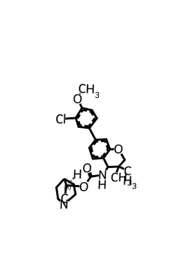 COc1ccc(-c2ccc3c(c2)OCC(C)(C)C3NC(=O)O[C@H]2CN3CCC2CC3)cc1Cl